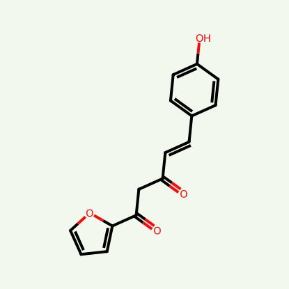 O=C(C=Cc1ccc(O)cc1)CC(=O)c1ccco1